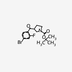 CC(C)(C)OC(=O)N1CCC(C(=O)c2ccc(Br)cc2F)C1